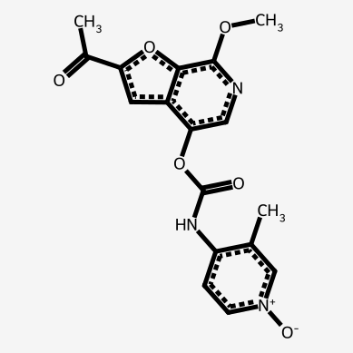 COc1ncc(OC(=O)Nc2cc[n+]([O-])cc2C)c2cc(C(C)=O)oc12